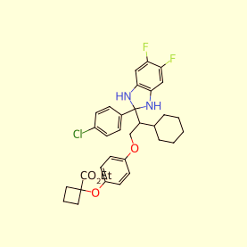 CCOC(=O)C1(Oc2ccc(OCC(C3CCCCC3)C3(c4ccc(Cl)cc4)Nc4cc(F)c(F)cc4N3)cc2)CCC1